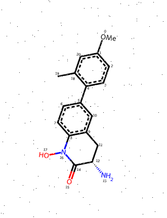 COc1ccc(-c2ccc3c(c2)C[C@H](N)C(=O)N3O)c(C)c1